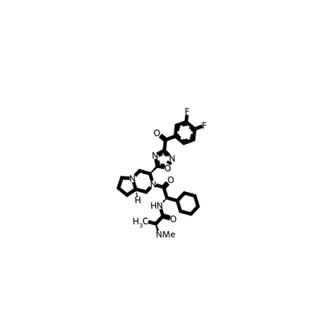 CN[C@@H](C)C(=O)N[C@H](C(=O)N1C[C@H]2CCCN2C[C@H]1c1nc(C(=O)c2ccc(F)c(F)c2)no1)C1CCCCC1